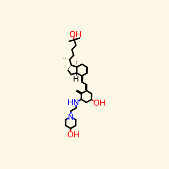 C=C1/C(=C\C=C2/CCC[C@]3(C)[C@@H]([C@H](C)CCCC(C)(C)O)CC[C@@H]23)C[C@@H](O)CC1NCCN1CCC(O)CC1